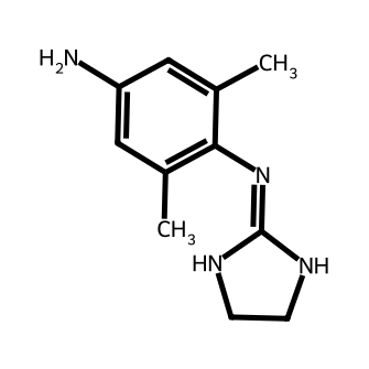 Cc1cc(N)cc(C)c1N=C1NCCN1